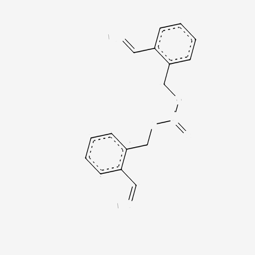 C=Cc1ccccc1CO[PH](=O)OCc1ccccc1C=C